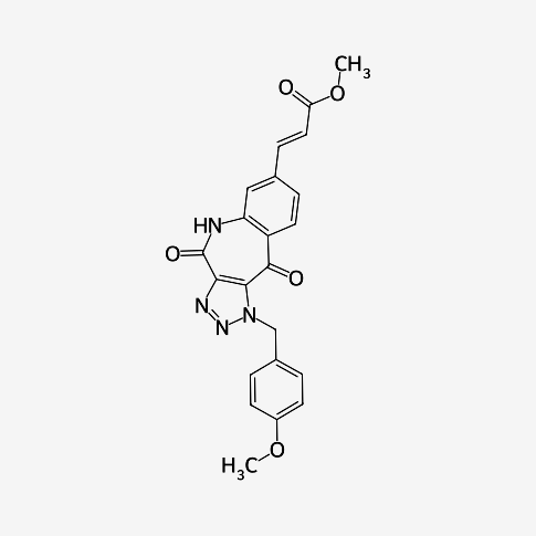 COC(=O)/C=C/c1ccc2c(=O)c3c(nnn3Cc3ccc(OC)cc3)c(=O)[nH]c2c1